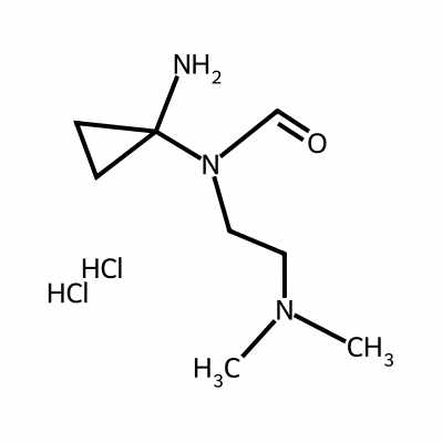 CN(C)CCN(C=O)C1(N)CC1.Cl.Cl